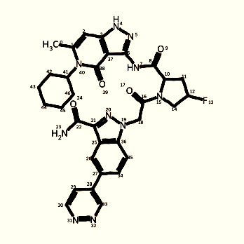 Cc1cc2[nH]nc(NC(=O)C3CC(F)CN3C(=O)Cn3nc(C(N)=O)c4cc(-c5ccnnc5)ccc43)c2c(=O)n1C1CCCCC1